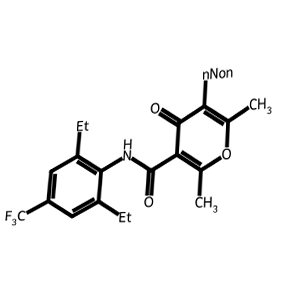 CCCCCCCCCc1c(C)oc(C)c(C(=O)Nc2c(CC)cc(C(F)(F)F)cc2CC)c1=O